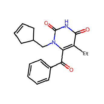 CCc1c(C(=O)c2ccccc2)n(CC2CC=CC2)c(=O)[nH]c1=O